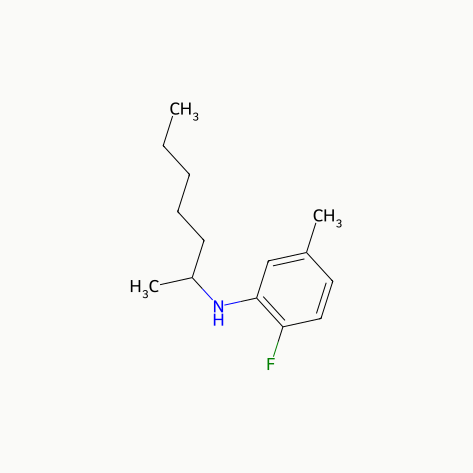 CCCCCC(C)Nc1cc(C)ccc1F